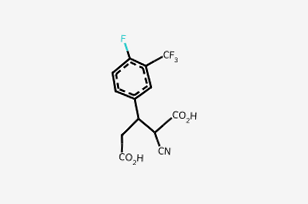 N#CC(C(=O)O)C(CC(=O)O)c1ccc(F)c(C(F)(F)F)c1